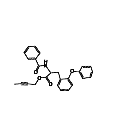 CC#CCOC(=O)C(Cc1ccccc1Oc1ccccc1)NC(=O)c1ccccc1